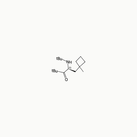 CC1(C[C@H](NC(C)(C)C)C(=O)C(C)(C)C)CCC1